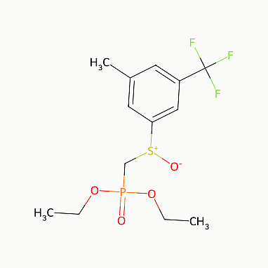 CCOP(=O)(C[S+]([O-])c1cc(C)cc(C(F)(F)F)c1)OCC